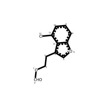 O=COCCc1coc2cccc(Cl)c12